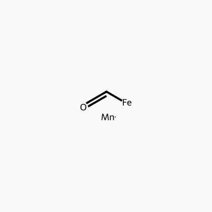 O=[CH][Fe].[Mn]